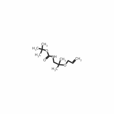 C=CCOC(C)(C)CNC(=O)OC(C)(C)C